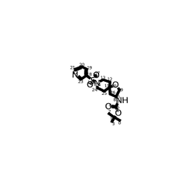 CC(C)(C)OC(=O)N[C@H]1COC2(CCN(S(=O)(=O)c3cccnc3)CC2)C1